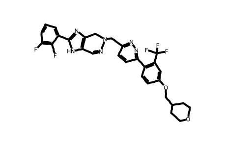 Fc1cccc(-c2nc3c([nH]2)C=NN(Cc2ccc(-c4ccc(OCC5CCOCC5)cc4C(F)(F)F)nn2)C3)c1F